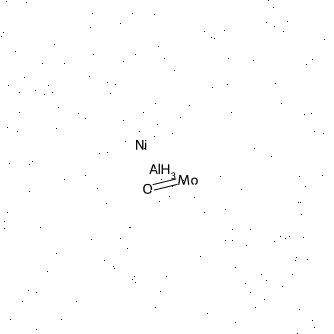 [AlH3].[Ni].[O]=[Mo]